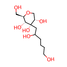 OCCCCC(O)C[C@@]1(O)[C@H](O)[C@@H](CO)OC[C@@H]1O